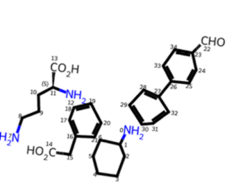 NC1CCCCC1.NCCC[C@H](N)C(=O)O.O=C(O)Cc1ccccc1.O=Cc1ccc(-c2ccccc2)cc1